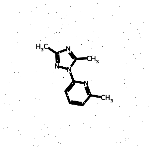 Cc1cccc(-n2nc(C)nc2C)n1